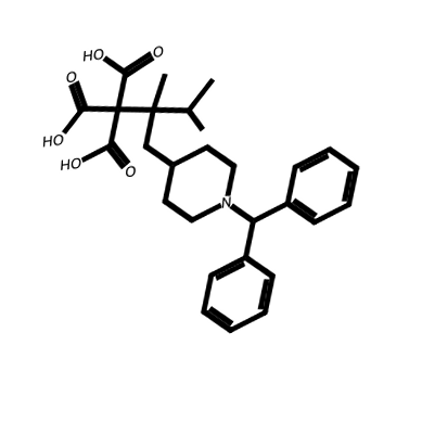 CC(C)C(C)(CC1CCN(C(c2ccccc2)c2ccccc2)CC1)C(C(=O)O)(C(=O)O)C(=O)O